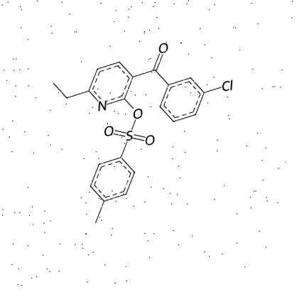 CCc1ccc(C(=O)c2cccc(Cl)c2)c(OS(=O)(=O)c2ccc(C)cc2)n1